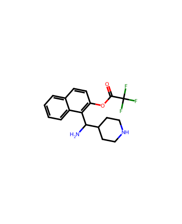 NC(c1c(OC(=O)C(F)(F)F)ccc2ccccc12)C1CCNCC1